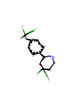 FC1(F)[CH]C(c2ccc(C(F)(F)F)cc2)NCC1